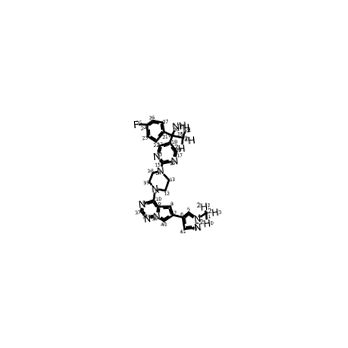 [2H]C([2H])([2H])n1cc(-c2cc3c(N4CCN(c5ncc(C(N)(c6ccc(F)cc6)C([2H])([2H])[2H])cn5)CC4)ncnn3c2)cn1